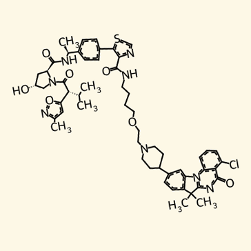 Cc1cc([C@H](C(=O)N2C[C@H](O)C[C@H]2C(=O)N[C@@H](C)c2ccc(-c3scnc3C(=O)NCCCCOCCN3CCC(c4ccc5c(c4)-n4c(nc(=O)c6c(Cl)cccc64)C5(C)C)CC3)cc2)C(C)C)on1